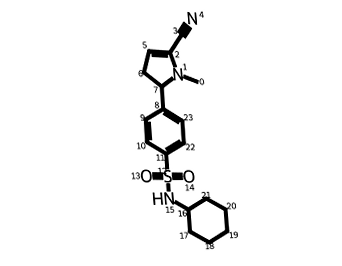 CN1C(C#N)=CCC1c1ccc(S(=O)(=O)NC2CCCCC2)cc1